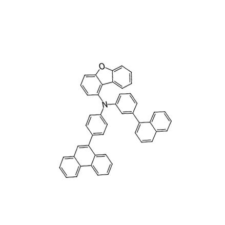 c1cc(-c2cccc3ccccc23)cc(N(c2ccc(-c3cc4ccccc4c4ccccc34)cc2)c2cccc3oc4ccccc4c23)c1